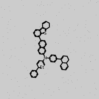 CC/C=C(\C=C/C(C)c1ccccc1)N(c1ccc(C2=CCCC3C=CC=CC23)cc1)c1ccc2cc(-c3cccc4c5c(sc34)CCC=C5)ccc2c1